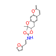 C=C1C=Cc2cc3c(cc2O1)OC(C)(C)C(OC(=O)N/C=C/c1ccco1)C3